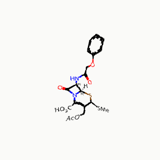 CSC1S[C@@H]2[C@H](NC(=O)COc3ccccc3)C(=O)N2C(C(=O)O)=C1COC(C)=O